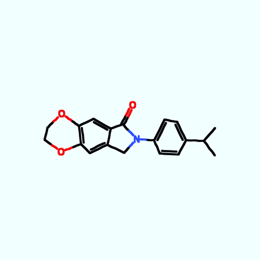 CC(C)c1ccc(N2Cc3cc4c(cc3C2=O)OCCO4)cc1